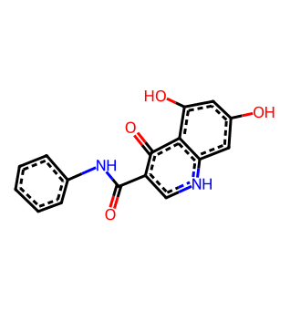 O=C(Nc1ccccc1)c1c[nH]c2cc(O)cc(O)c2c1=O